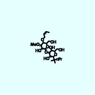 C/C=C\COC1C(CO)O[C@H](O[C@@H]2C(O)C(CO)OC(C(C)(C)CCC)[C@H]2O)[C@@H](O)[C@@H]1OC